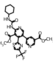 COC(=O)c1cncc(-c2cnc(NC(=O)NC3CCCCC3)c(C(=O)OC)c2-c2nc(C(F)(F)F)cs2)c1